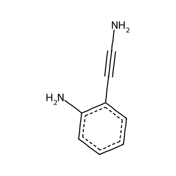 NC#Cc1ccccc1N